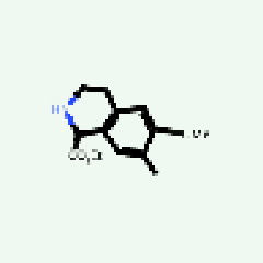 CCOC(=O)C1NCCc2cc(OC)c(C)cc21